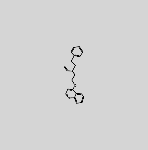 C=CC(CCOc1ccnc2ccccc12)CCc1ccccc1